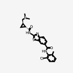 Cc1cccc(Cl)c1NC(=O)c1ccc2nc(NC(=O)[C@@H]3C[C@H]3CN(C)C)sc2c1